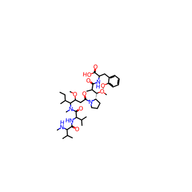 CCC(C)C(C(CC(=O)N1CCC[C@H]1C(OC)C(C)C(=O)NC(Cc1ccccc1OC)C(=O)O)OC)N(C)C(=O)C(NC(=O)C(NC)C(C)C)C(C)C